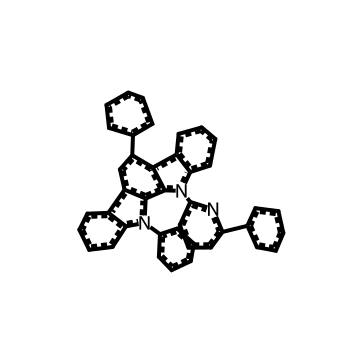 c1ccc(-c2cccc(-n3c4ccccc4c4c(-c5ccccc5)cc5c6ccccc6n(-c6ccccc6)c5c43)n2)cc1